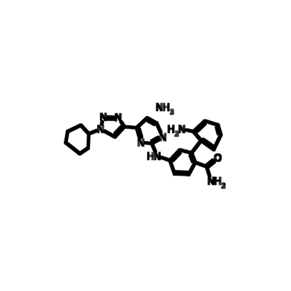 N.NC(=O)c1ccc(Nc2nccc(-c3cn(C4CCCCC4)nn3)n2)cc1-c1ccccc1N